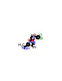 Cc1nc[nH]c1-c1ccc(-n2c(=O)c3c(n4ncc(CC(C)C)c24)CN(C(=O)c2ccc(Br)c(Cl)c2)C(C)C3)cc1